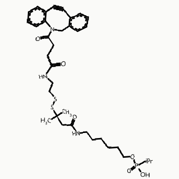 CC(C)P(=O)(O)OCCCCCCNC(=O)CC(C)(C)SSCCNC(=O)CCC(=O)N1Cc2ccccc2C#Cc2ccccc21